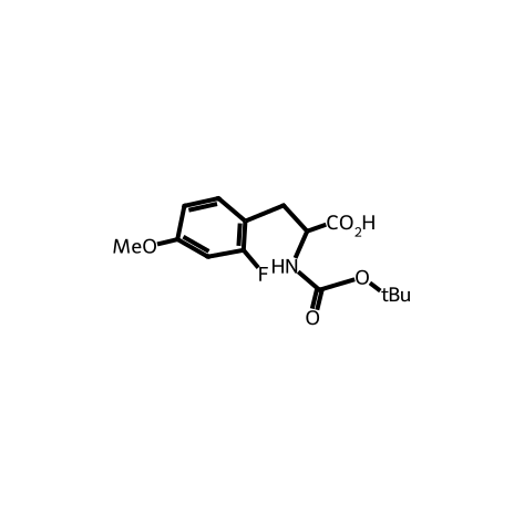 COc1ccc(CC(NC(=O)OC(C)(C)C)C(=O)O)c(F)c1